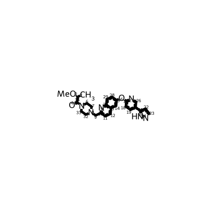 CO[C@@H](C)C(=O)N1CCN(Cc2ccc3cc(Oc4ccc(-c5ccn[nH]5)cn4)ccc3n2)CC1